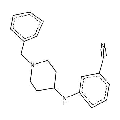 N#Cc1cccc(NC2CCN(Cc3ccccc3)CC2)c1